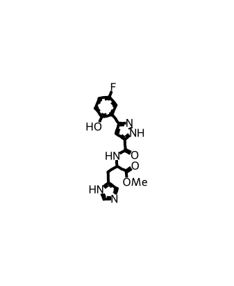 COC(=O)C(Cc1cnc[nH]1)NC(=O)c1cc(-c2cc(F)ccc2O)n[nH]1